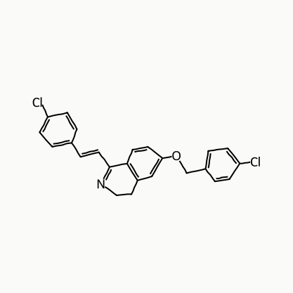 Clc1ccc(C=CC2=NCCc3cc(OCc4ccc(Cl)cc4)ccc32)cc1